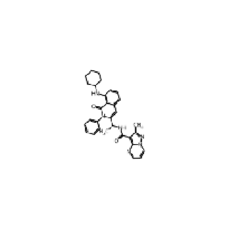 Cc1nn2cccnc2c1C(=O)N[C@@H](C)c1cc2cccc(NC3CCCCC3)c2c(=O)n1-c1ccccc1